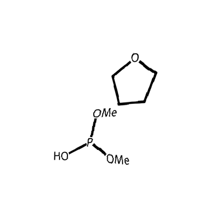 C1CCOC1.COP(O)OC